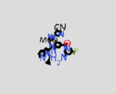 COc1cc(C(=O)N2C=C(N)C[C@@H](F)C2)cc2nc(-c3cc4cccnc4n3CC3CC3)n(Cc3cnn(-c4cncc(C#N)c4)c3)c12